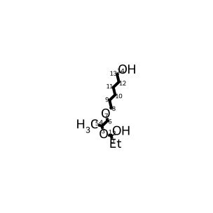 CCC(O)OC(C)COCCCCCCO